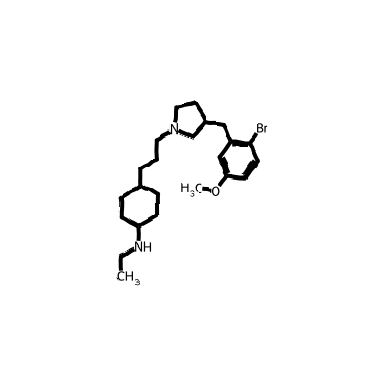 CCNC1CCC(CCCN2CCC(Cc3cc(OC)ccc3Br)C2)CC1